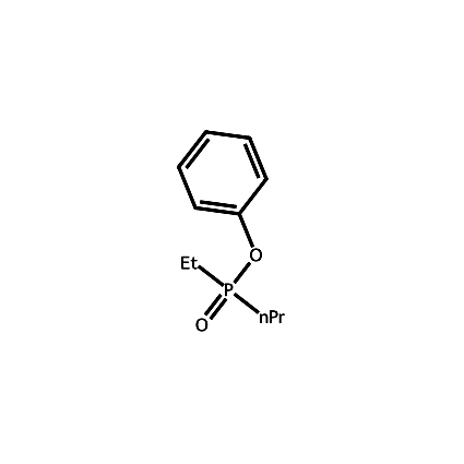 CCCP(=O)(CC)Oc1ccccc1